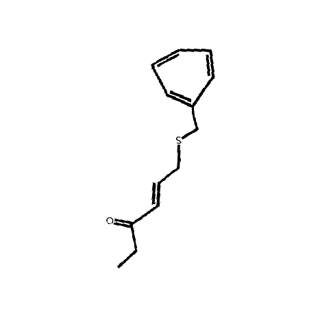 CCC(=O)/C=C/CSCc1ccccc1